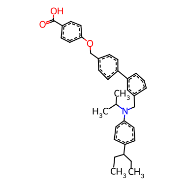 CCC(CC)c1ccc(N(Cc2cccc(-c3ccc(COc4ccc(C(=O)O)cc4)cc3)c2)C(C)C)cc1